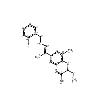 CCC(Oc1ccc(/C(C)=N/OCc2ccccc2F)cc1C)C(=O)O